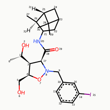 C[C@H](O)[C@@H]1[C@H](CO)ON(Cc2cccc(I)c2)[C@@H]1C(=O)NC1CC2C[C@@H]([C@@H]1C)C2(C)C